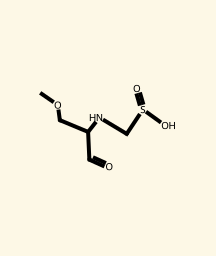 COCC(C=O)NCS(=O)O